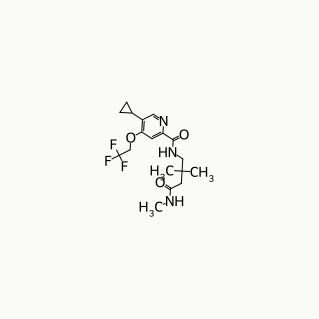 CNC(=O)CC(C)(C)CNC(=O)c1cc(OCC(F)(F)F)c(C2CC2)cn1